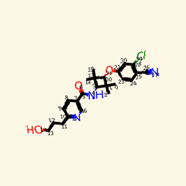 CC1(C)[C@H](NC(=O)c2ccc(CCCO)nc2)C(C)(C)[C@H]1Oc1ccc(C#N)c(Cl)c1